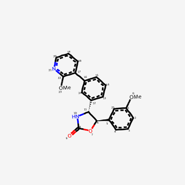 COc1cccc([C@H]2OC(=O)N[C@@H]2c2cccc(-c3cccnc3OC)c2)c1